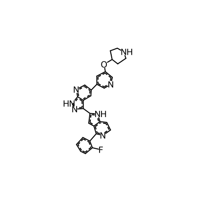 Fc1ccccc1-c1nccc2[nH]c(-c3n[nH]c4ncc(-c5cncc(OC6CCNCC6)c5)cc34)cc12